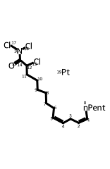 CCCCC/C=C\C/C=C\CCCCCCC(Cl)C(=O)N(Cl)Cl.[Pt]